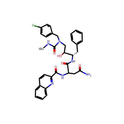 CC(C)(C)NC(=O)N(Cc1ccc(F)cc1)CC(O)[C@H](Cc1ccccc1)NC(=O)C(CC(N)=O)NC(=O)c1ccc2ccccc2n1